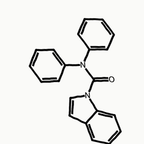 O=C(N(c1ccccc1)c1ccccc1)n1ccc2ccccc21